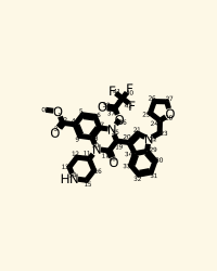 COC(=O)c1ccc2c(c1)N(C1CCNCC1)C(=O)C(c1cn(CC3CCCO3)c3ccccc13)N2OC(=O)C(F)(F)F